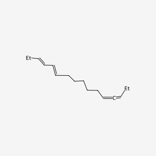 CCC=C=CCCCCCC=CC=CCC